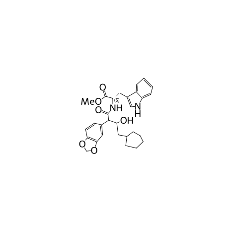 COC(=O)[C@H](Cc1c[nH]c2ccccc12)NC(=O)C(c1ccc2c(c1)OCO2)C(O)CC1CCCCC1